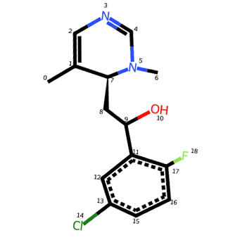 CC1=CN=CN(C)[C@H]1CC(O)c1cc(Cl)ccc1F